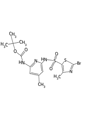 Cc1cc(NC(=O)OC(C)(C)C)nc(NS(=O)(=O)c2sc(Br)nc2C)c1